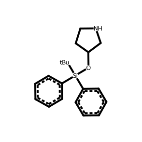 CC(C)(C)[Si](OC1CCNC1)(c1ccccc1)c1ccccc1